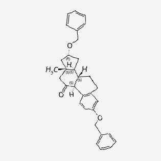 C[C@]12CC(=O)[C@@H]3c4ccc(OCc5ccccc5)cc4CC[C@H]3[C@@H]1C[C@@H](OCc1ccccc1)C2